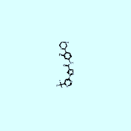 O=C(Nc1ccc(C2CNCCO2)c(F)c1)c1cnn(-c2cc(C(F)(F)F)ncn2)c1